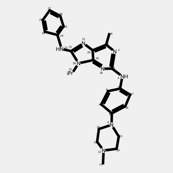 Cc1nc(Nc2ccc(N3CCN(C)CC3)cc2)nc2c1nc(Nc1ccccc1)n2C(C)C